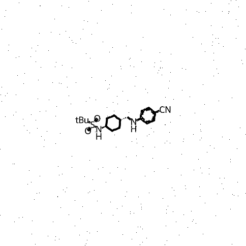 CC(C)(C)S(=O)(=O)N[C@H]1CC[C@H](CNc2ccc(C#N)cc2)CC1